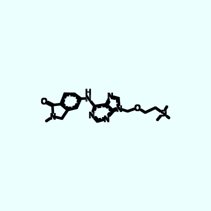 CN1Cc2cc(Nc3ncnc4c3ncn4COCC[Si](C)(C)C)ccc2C1=O